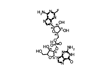 Nc1nc2c(ncn2[C@@H]2OC(CO)[C@@H](O)[C@H]2OP(=O)(O)OC[C@H]2O[C@@H](n3cnc4c(N)nc(F)nc43)[C@H](O)[C@@H]2O)c(=O)[nH]1